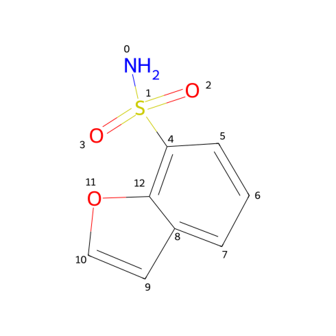 NS(=O)(=O)c1cccc2ccoc12